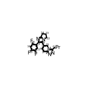 CC(C)c1nnc2ccc(-c3c(-c4cc(F)c(F)cc4F)nc4n3CCC4)cn12